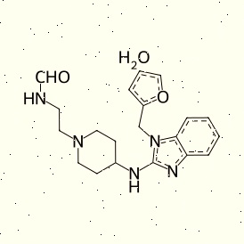 O.O=CNCCN1CCC(Nc2nc3ccccc3n2Cc2ccco2)CC1